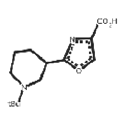 CC(C)(C)N1CCCC(c2nc(C(=O)O)co2)C1